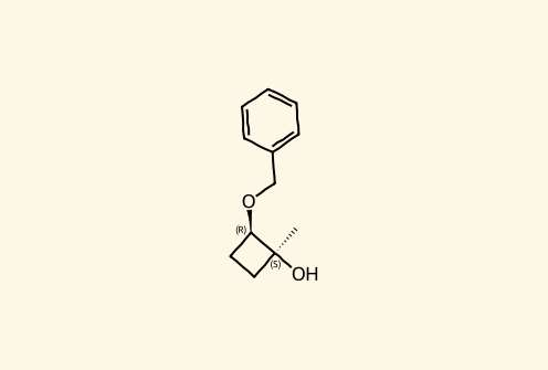 C[C@]1(O)CC[C@H]1OCc1ccccc1